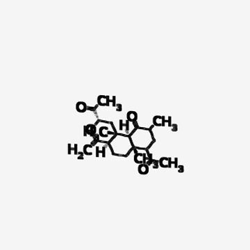 C=C1O[C@H](C(C)=O)C[C@]2(C)[C@H]3C(=O)C(C)CC(C(C)=O)[C@]3(C)CC[C@@H]12